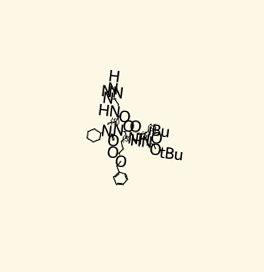 CC[C@H](C)[C@H](NC(=O)OC(C)(C)C)C(=O)N[C@@H](CCC(=O)OCc1ccccc1)C(=O)N1C(=O)N(C2CCCCC2)C[C@H]1C(=O)NCc1nn[nH]n1